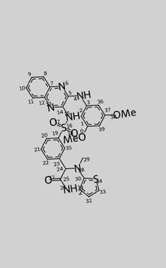 COc1cc(Nc2nc3ccccc3nc2NS(=O)(=O)c2cccc(C(C(N)=O)N(C)c3cccs3)c2)cc(OC)c1